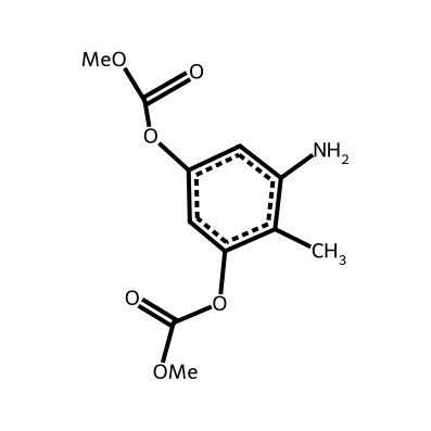 COC(=O)Oc1cc(N)c(C)c(OC(=O)OC)c1